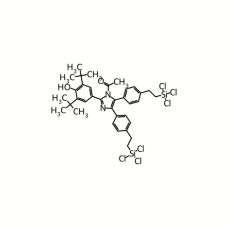 CC(=O)n1c(-c2cc(C(C)(C)C)c(O)c(C(C)(C)C)c2)nc(-c2ccc(CC[Si](Cl)(Cl)Cl)cc2)c1-c1ccc(CC[Si](Cl)(Cl)Cl)cc1